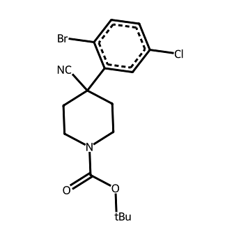 CC(C)(C)OC(=O)N1CCC(C#N)(c2cc(Cl)ccc2Br)CC1